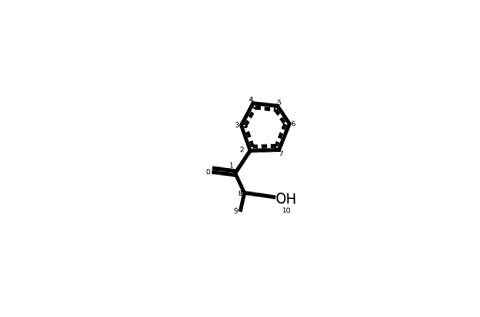 C=C(c1ccccc1)C(C)O